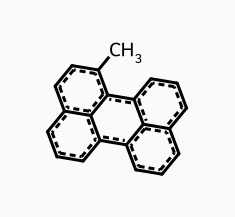 Cc1ccc2cccc3c4cccc5cccc(c1c23)c54